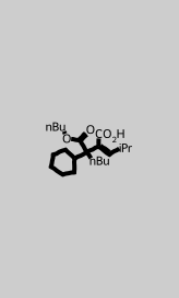 CCCCOC(=O)C(CCCC)(C(=CC(C)C)C(=O)O)C1CCCCC1